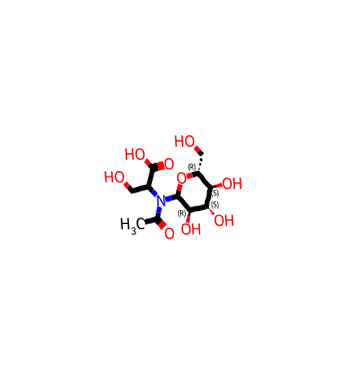 CC(=O)N(C(CO)C(=O)O)C1O[C@H](CO)[C@@H](O)[C@H](O)[C@H]1O